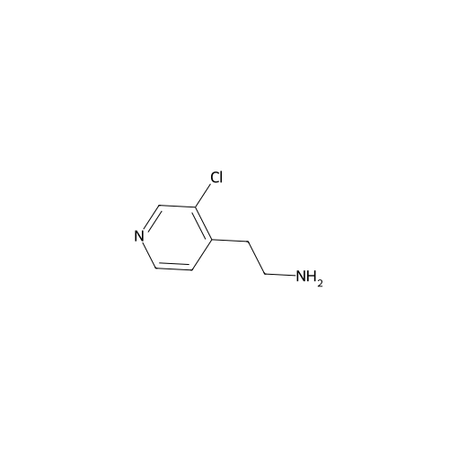 NCCc1ccncc1Cl